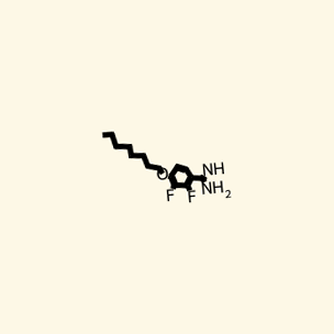 CCCCCCCCOc1ccc(C(=N)N)c(F)c1F